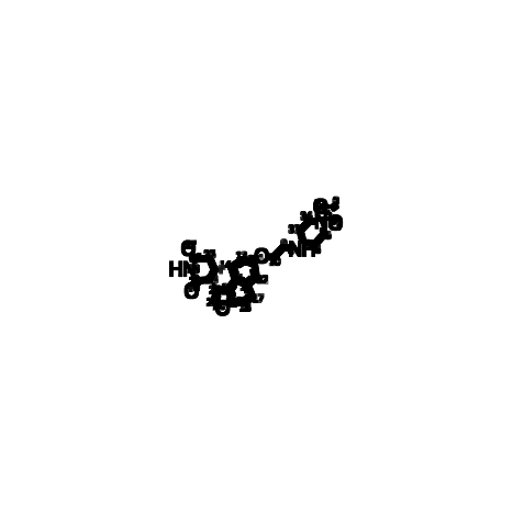 CS(=O)(=O)N1CCC(NCCOc2ccc3c(ccc4occ([C@H]5CCC(=O)NC5=O)c43)c2)CC1